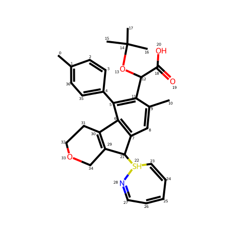 Cc1ccc(-c2c3c(cc(C)c2C(OC(C)(C)C)C(=O)O)C([SH]2C=CC=CC=N2)C2=C3CCOC2)cc1